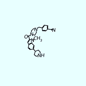 Cn1c(C(=O)N2CCN(Cc3ccc(C#N)cc3)CC2)cc2ccc(C3CCNCC3)cc21